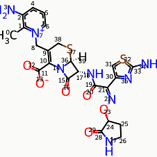 Cc1c(N)ccc[n+]1CC1=C(C(=O)[O-])N2C(=O)[C@@H](NC(=O)/C(=N\O[C@H]3CCNC3=O)c3csc(N)n3)[C@@H]2SC1